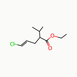 CCOC(=O)C(CC=CCl)C(C)C